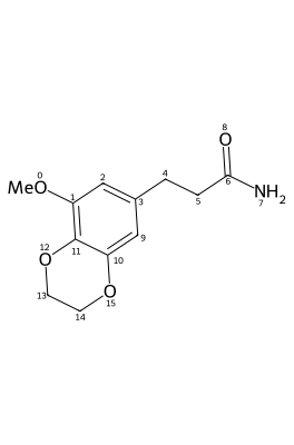 COc1cc(CCC(N)=O)cc2c1OCCO2